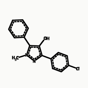 Cn1nc(-c2ccc(Cl)cc2)c(O)c1-c1ccccc1